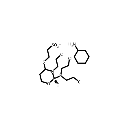 NC1CCCCC1.O=P1(N(CCCl)CCCl)OCCC(SCCS(=O)(=O)O)N1CCCl